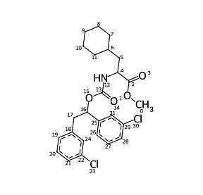 COC(=O)C(CC1CCCCC1)NC(=O)OC(Cc1cccc(Cl)c1)c1cccc(Cl)c1